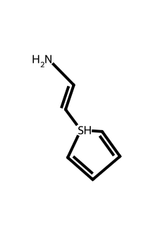 NC=C[SH]1C=CC=C1